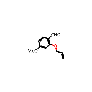 C=CCOc1cc(OC)ccc1[C]=O